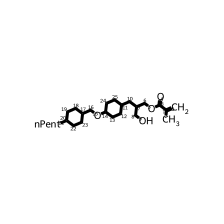 C=C(C)C(=O)OCC(CO)CC1CCC(OCC2CCC(CCCCC)CC2)CC1